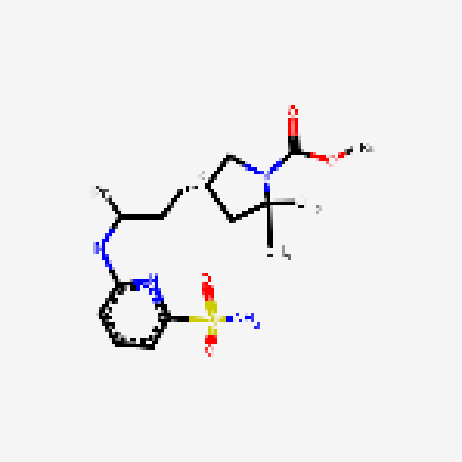 CC(C)C(CC[C@@H]1CN(C(=O)OC(C)(C)C)C(C)(C)C1)Nc1cccc(S(N)(=O)=O)n1